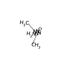 CCCCCCCCCN=C(N)N(CCCCCCCCC)C(=Nc1ccccc1)N1CC1